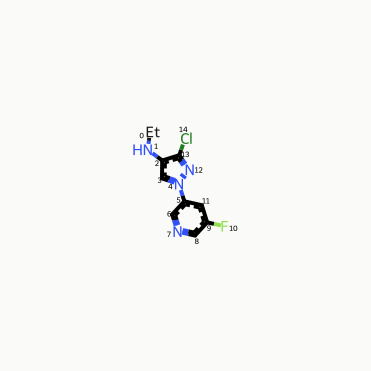 CCNc1cn(-c2cncc(F)c2)nc1Cl